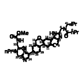 CCCC(=O)N(Cc1nc2ccc3cc4c(cc3c2[nH]1)OCc1cc(-c2cnc(CN(CCC)C(=O)CNC(=O)OC)[nH]2)ccc1-4)CC(C)C